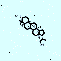 CC(=O)OC1CC[C@]2(C)[C@H]3CC[C@@H]4[C@@]5(C)CC[C@H](C(C)CO)[C@@H]5CC[C@@]4(C)[C@]3(C)CC[C@H]2C1(C)C